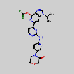 CC(C)n1cnc2c(OC(F)F)nc(-c3ccnc(Nc4ccc(N5CCOCC5=O)cn4)n3)cc21